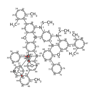 CSN1c2cc3c(cc2B2c4cc5c(cc4Oc4cc(-c6c(C)cccc6C)cc1c42)N(c1ccccc1)c1cc(-c2c(C)cccc2C)cc2c1B5c1cccc(-c4ccccc4)c1O2)B1c2cccc(-c4ccccc4)c2Oc2cc(-c4c(C)cccc4C)cc(c21)N3SC